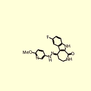 COc1ccc(NN=C2CCNC(=O)c3[nH]c4ccc(F)cc4c32)cn1